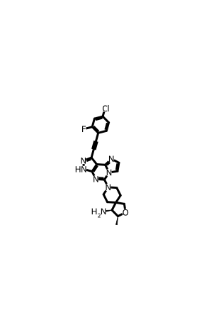 C[C@@H]1OCC2(CCN(c3nc4[nH]nc(C#Cc5ccc(Cl)cc5F)c4c4nccn34)CC2)[C@@H]1N